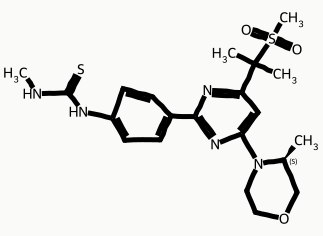 CNC(=S)Nc1ccc(-c2nc(N3CCOC[C@@H]3C)cc(C(C)(C)S(C)(=O)=O)n2)cc1